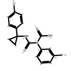 O=C(O)N(C(=O)NC1(c2ccc(Cl)cc2)CC1)c1cccc(F)c1